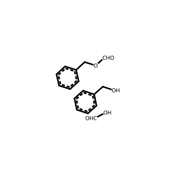 O=CO.O=COCc1ccccc1.OCc1ccccc1